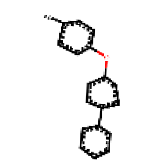 CC(=O)c1ccc(Oc2ccc(-c3ccccc3)cc2)cc1